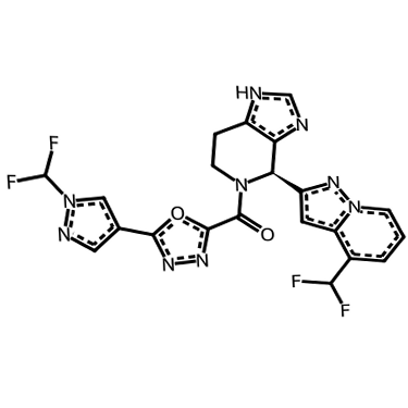 O=C(c1nnc(-c2cnn(C(F)F)c2)o1)N1CCc2[nH]cnc2[C@H]1c1cc2c(C(F)F)cccn2n1